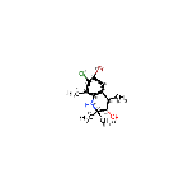 Cc1c(Cl)c(Br)cc2c1NC(C)(C)[C@@H](O)[C@@H]2C